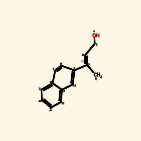 C/C(=C\CO)c1ccc2ccccc2c1